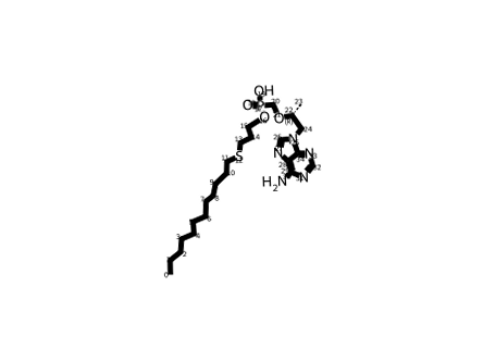 CCCCCCCCCCCCSCCCOP(=O)(O)CO[C@H](C)Cn1cnc2c(N)ncnc21